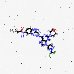 C=CC(=O)Nc1ccc2[nH]c(CNc3nc(N4CCOCC4)nc4c3ncn4-c3cnn(C(F)F)c3)nc2c1